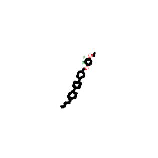 C=CCCC1CCC(c2ccc(C3CCC(COc4ccc(OCC)c(F)c4F)CC3)cc2)CC1